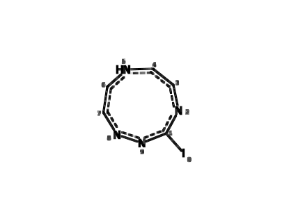 Ic1ncc[nH]ccnn1